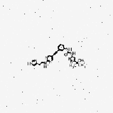 CC(C)(C)c1cc(NC(=O)Nc2cccc(C#Cc3cnc(NCCc4c[nH]cn4)nc3)c2)no1